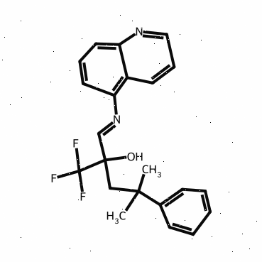 CC(C)(CC(O)(C=Nc1cccc2ncccc12)C(F)(F)F)c1ccccc1